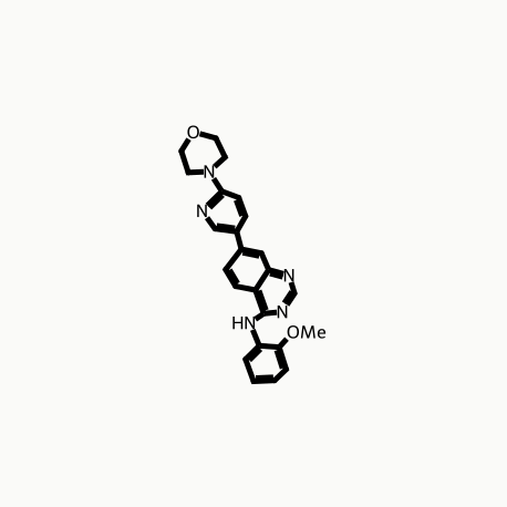 COc1ccccc1Nc1ncnc2cc(-c3ccc(N4CCOCC4)nc3)ccc12